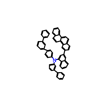 c1ccc(-c2cccc(-c3ccc(N(c4cccc(-c5ccccc5)c4)c4cc(-c5ccc6ccc7c8ccccc8ccc7c6c5)cc5ccccc45)cc3)c2)cc1